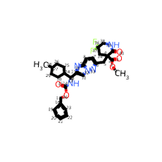 COC(=O)C1(Cc2ccc3nc([C@@H](NC(=O)OCc4ccccc4)C4CCC(C)CC4)cn3n2)CC(F)(F)CNC1=O